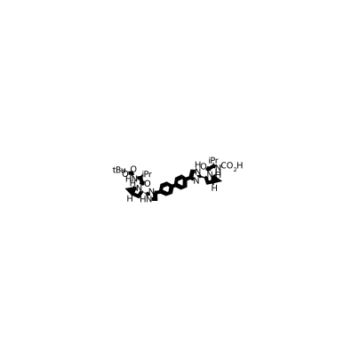 CC(C)[C@H](NC(=O)O)C(=O)N1[C@@H]2C[C@@H]2C[C@H]1c1nc(-c2ccc(-c3ccc(-c4c[nH]c([C@@H]5C[C@H]6C[C@H]6N5C(=O)[C@@H](NC(=O)OC(C)(C)C)C(C)C)n4)cc3)cc2)c[nH]1